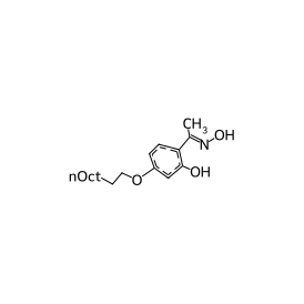 CCCCCCCCCCOc1ccc(/C(C)=N/O)c(O)c1